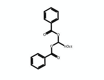 CCCCCCCCC(OC(=O)c1ccccc1)OC(=O)c1ccccc1